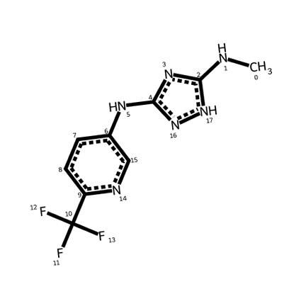 CNc1nc(Nc2ccc(C(F)(F)F)nc2)n[nH]1